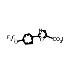 O=C(O)c1cnc(-c2ccc(OC(F)(F)F)cc2)o1